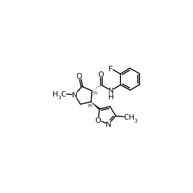 Cc1cc([C@H]2CN(C)C(=O)[C@@H]2C(=O)Nc2ccccc2F)on1